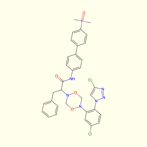 CP(C)(=O)c1ccc(-c2ccc(NC(=O)C(Cc3ccccc3)N3CON(c4cc(Cl)ccc4-n4cc(Cl)nn4)CO3)cc2)cc1